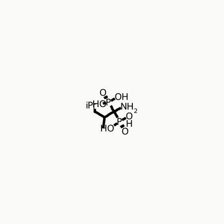 CC(C)CC(C)C(N)(P(=O)(O)O)P(=O)(O)O